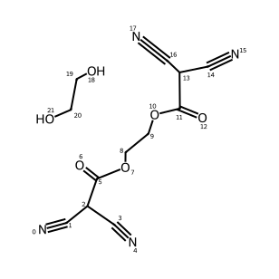 N#CC(C#N)C(=O)OCCOC(=O)C(C#N)C#N.OCCO